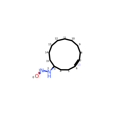 O=NNC1CC/C=C\CCCCCCCC1